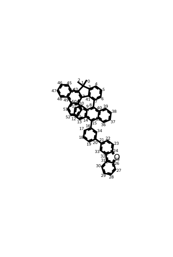 CC1(C)c2cccc(-c3c4ccccc4c(-c4cccc(-c5ccc6oc7ccccc7c6c5)c4)c4ccccc34)c2-c2c1c1ccccc1c1ccccc21